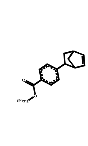 CCCCCOC(=O)c1ccc(C2CC3C=CC2C3)cc1